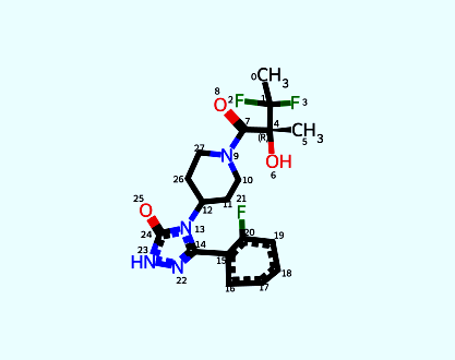 CC(F)(F)[C@](C)(O)C(=O)N1CCC(n2c(-c3ccccc3F)n[nH]c2=O)CC1